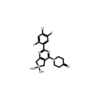 O=C1CCN(c2nc(-c3cc(F)c(Cl)cc3F)nc3c2CS(O)(O)C3)CC1